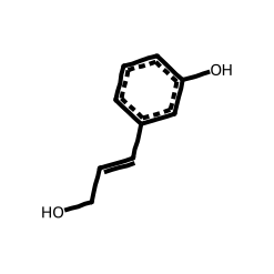 OCC=Cc1cccc(O)c1